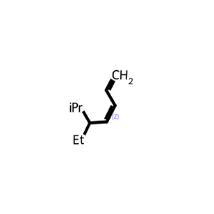 C=C/C=C\C(CC)C(C)C